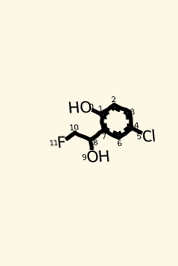 Oc1ccc(Cl)cc1C(O)CF